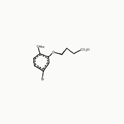 CCOC(=O)CCCOc1cc(Br)ccc1OC